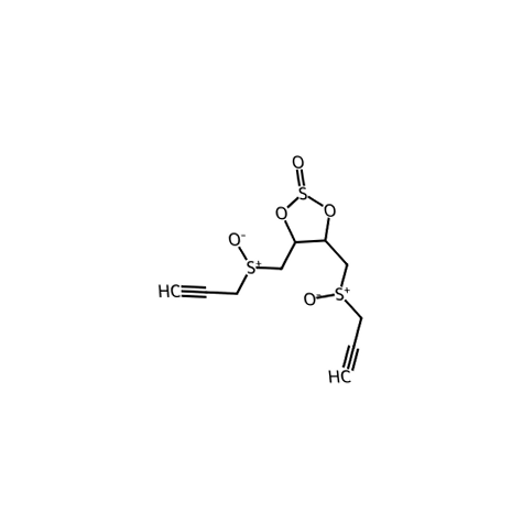 C#CC[S+]([O-])CC1OS(=O)OC1C[S+]([O-])CC#C